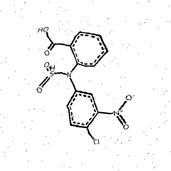 O=C(O)c1ccccc1N(c1ccc(Cl)c([N+](=O)[O-])c1)[SH](=O)=O